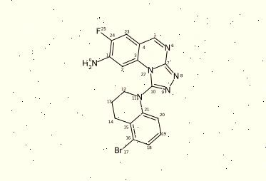 Nc1cc2c(cnc3nnc(N4CCCc5c(Br)cccc54)n32)cc1F